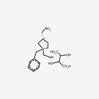 CC(C)C[N+]1(Cc2ccccc2)CC[C@@H](CN)C1.O=C(O)C(O)C(O)C(=O)O